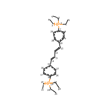 CC[PH](CC)(CC)c1ccc(C=CC=Cc2ccc([PH](CC)(CC)CC)cc2)cc1